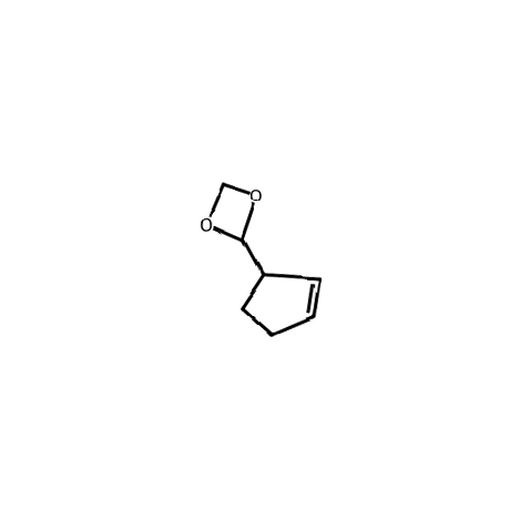 C1=CC(C2OCO2)CC1